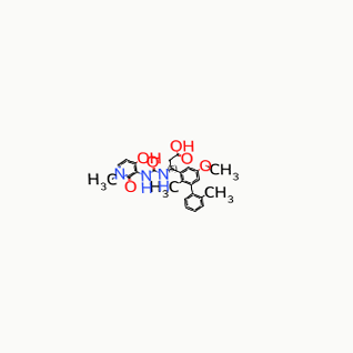 COc1cc(-c2ccccc2C)c(C)c([C@H](CC(=O)O)NC(=O)Nc2c(O)ccn(C)c2=O)c1